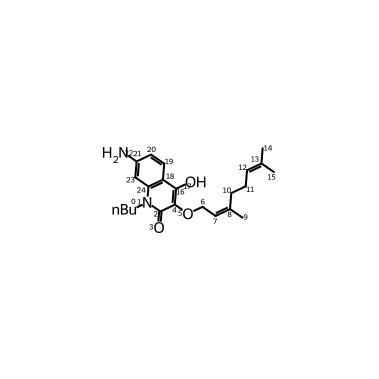 CCCCn1c(=O)c(OCC=C(C)CCC=C(C)C)c(O)c2ccc(N)cc21